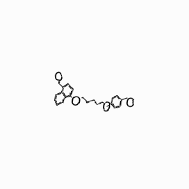 O=Cc1ccc(OCCCCCOc2ccc(C=O)c3ccccc23)cc1